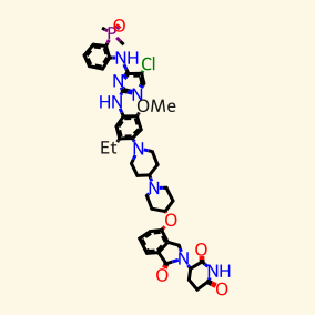 CCc1cc(Nc2ncc(Cl)c(Nc3ccccc3P(C)(C)=O)n2)c(OC)cc1N1CCC(N2CCC(Oc3cccc4c3CN(C3CCC(=O)NC3=O)C4=O)CC2)CC1